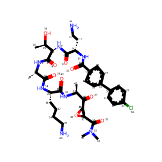 C[C@H](NC(=O)[C@@H](NC(=O)[C@H](CCN)NC(=O)c1ccc(-c2ccc(Cl)cc2)cc1)[C@@H](C)O)C(=O)N[C@@H](CCCCN)C(=O)N[C@@H](C)C(=O)C1OC1C(=O)N(C)C